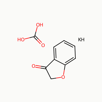 O=C(O)O.O=C1COc2ccccc21.[KH]